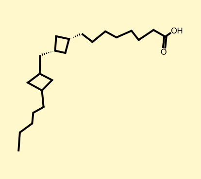 CCCCCC1CC(C[C@H]2C[C@@H](CCCCCCCC(=O)O)C2)C1